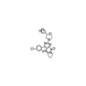 Cn1cc(C2CN(c3nc(-c4ccc(Cl)cc4F)c4nc5n(c(=O)c4n3)CCC5)CCO2)cn1